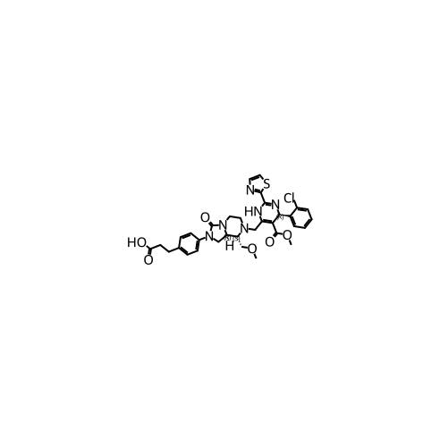 COC[C@@H]1[C@H]2CN(c3ccc(CCC(=O)O)cc3)C(=O)N2CCN1CC1=C(C(=O)OC)[C@H](c2ccccc2Cl)N=C(c2nccs2)N1